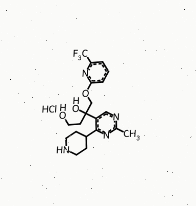 Cc1ncc(C(O)(CCO)COc2cccc(C(F)(F)F)n2)c(C2CCNCC2)n1.Cl